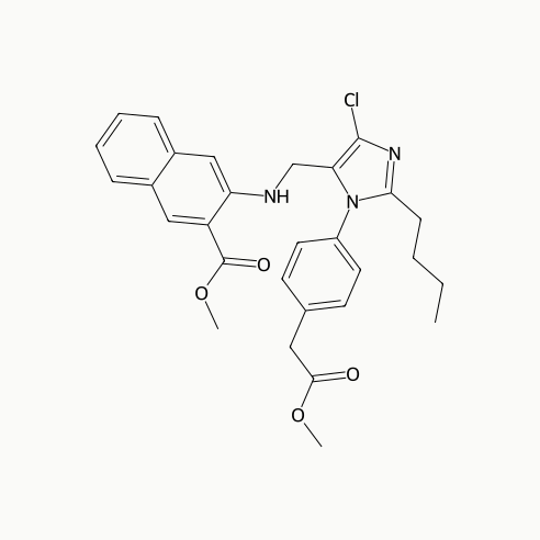 CCCCc1nc(Cl)c(CNc2cc3ccccc3cc2C(=O)OC)n1-c1ccc(CC(=O)OC)cc1